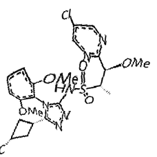 COc1cccc(OC)c1-n1c(NS(=O)(=O)[C@@H](C)[C@H](OC)c2ncc(Cl)cn2)nnc1[C@H]1C[C@@H](C(F)(F)F)C1